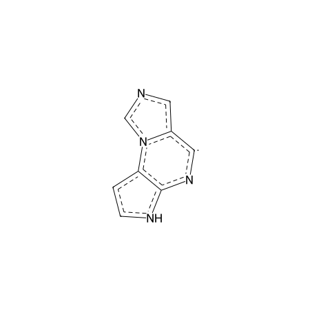 [c]1nc2[nH]ccc2n2cncc12